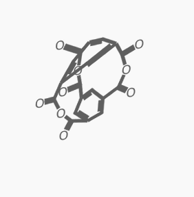 O=c1oc(=O)c2cc3cc(c2)c(=O)oc(=O)c2cc1cc(c2)c(=O)oc3=O